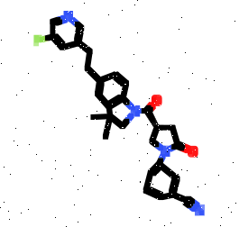 CC1(C)CN(C(=O)[C@H]2CC(=O)N(c3cccc(C#N)c3)C2)c2ccc(CCc3cncc(F)c3)cc21